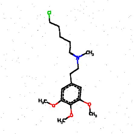 COc1cc(CCN(C)CCCCCCl)cc(OC)c1OC